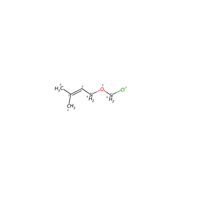 CC(C)=C[SiH2]O[SiH2]Cl